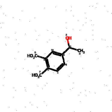 CC(O)c1ccc(C(=O)O)c(C(=O)O)c1